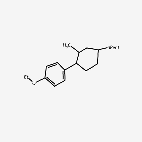 CCCCCC1CCC(c2ccc(OCC)cc2)C(C)C1